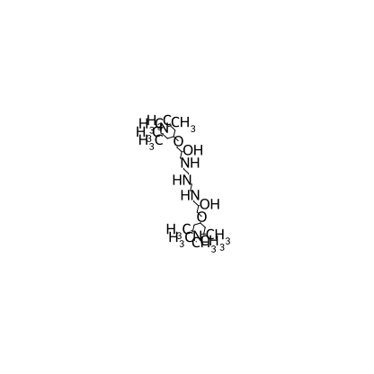 CN1C(C)(C)CC(OCC(O)CNCCNCCNCC(O)COC2CC(C)(C)N(C)C(C)(C)C2)CC1(C)C